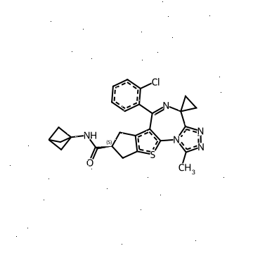 Cc1nnc2n1-c1sc3c(c1C(c1ccccc1Cl)=NC21CC1)C[C@H](C(=O)NC12CC(C1)C2)C3